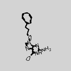 Nc1nc2c(ncn2OCCCc2ccccc2)c(=O)[nH]1